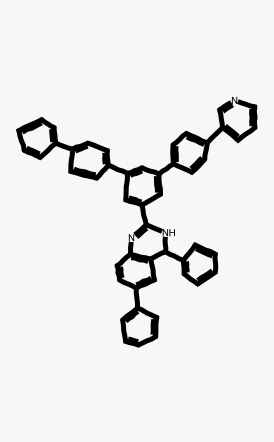 c1ccc(-c2ccc(-c3cc(C4=Nc5ccc(-c6ccccc6)cc5C(c5ccccc5)N4)cc(-c4ccc(-c5cccnc5)cc4)c3)cc2)cc1